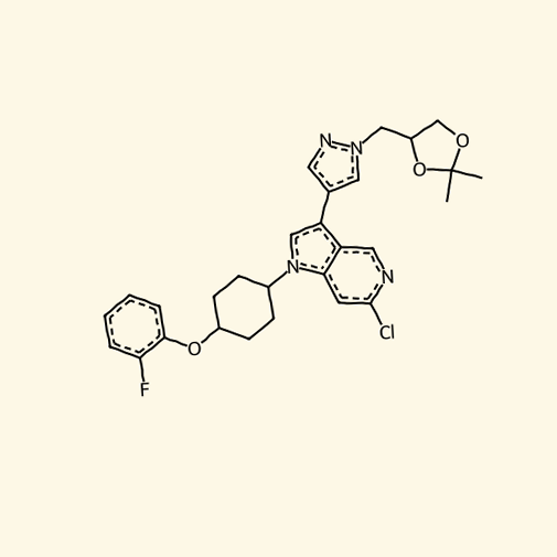 CC1(C)OCC(Cn2cc(-c3cn(C4CCC(Oc5ccccc5F)CC4)c4cc(Cl)ncc34)cn2)O1